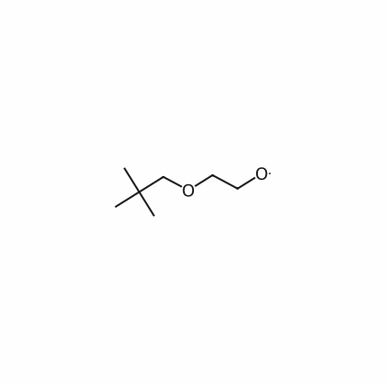 CC(C)(C)COCC[O]